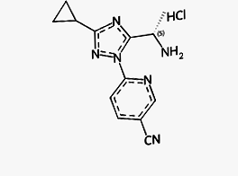 C[C@H](N)c1nc(C2CC2)nn1-c1ccc(C#N)cn1.Cl